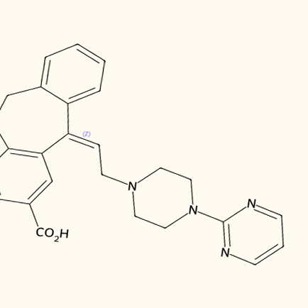 O=C(O)c1ccc2c(c1)/C(=C\CN1CCN(c3ncccn3)CC1)c1ccccc1CO2